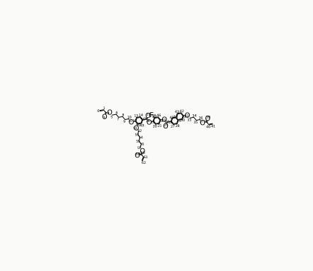 C=CC(=O)OCCCCCCOc1ccc(C(=O)Oc2ccc(OC(=O)c3ccc4cc(OCCCCOC(=O)C=C)ccc4c3)cc2F)cc1OCCCCCCOC(=O)C=C